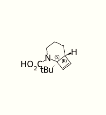 CC(C)(C)[C@@]12C=C[C@H]1CCCN2C(=O)O